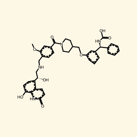 COc1cc(C(=O)N2CCC(COc3cccc([C@@H](NC(=O)O)c4ccccc4)c3)CC2)ccc1CNC[C@H](O)c1ccc(O)c2[nH]c(=O)ccc12